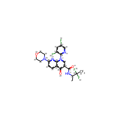 CC(NC(=O)c1cn(-c2ncc(F)cc2F)c2nc(N3CCOCC3)ccc2c1=O)C(F)(F)C(F)(F)F